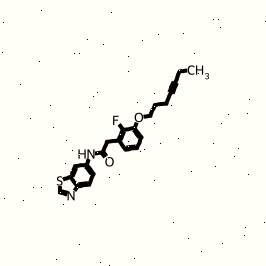 CCC#CCCCOc1cccc(CC(=O)Nc2ccc3ncsc3c2)c1F